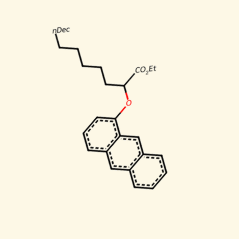 CCCCCCCCCCCCCCCC(Oc1cccc2cc3ccccc3cc12)C(=O)OCC